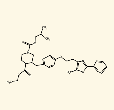 CCOC(=O)C1CCN(C(=O)OCC(C)C)CC1Cc1ccc(OCCc2nc(-c3ccccc3)oc2C)cc1